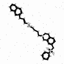 O=S(=O)(Cc1ccc2c(c1)CN(CCCCNOC=CCc1ccc3ccccc3c1)CC2)c1ccccc1